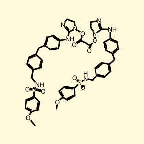 COc1ccc(S(=O)(=O)NCc2ccc(Cc3ccc(NC4=NCCN4OC(=O)C(=O)ON4CCN=C4Nc4ccc(Cc5ccc(CNS(=O)(=O)c6ccc(OC)cc6)cc5)cc4)cc3)cc2)cc1